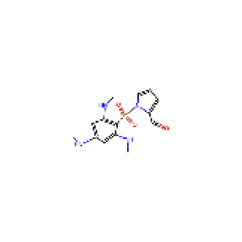 CNc1cc(NC)c(S(=O)(=O)n2cccc2C=O)c(NC)c1